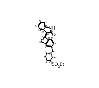 CCOC(=O)C1CCCN(Cc2ccc3c(c2)COC3=C2C(=O)Nc3ccccc32)C1